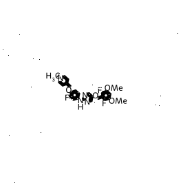 COc1cc(OC)c(F)c(COc2cnc(Nc3ccc(OCC4CCN(C)CC4)c(F)c3)nc2)c1F